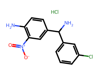 Cl.Nc1ccc(C(N)c2cccc(Cl)c2)cc1[N+](=O)[O-]